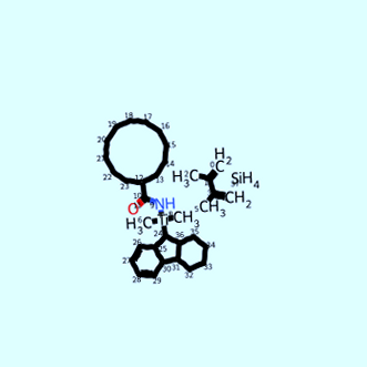 C=C(C)C(=C)C.[CH3][Ti]([CH3])([NH]C(=O)C1CCCCCCCCCCC1)[CH]1C2C=CC=CC2C2CCCCC21.[SiH4]